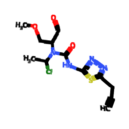 C#CCc1nnc(NC(=O)N(C(C)Cl)C(C=O)COC)s1